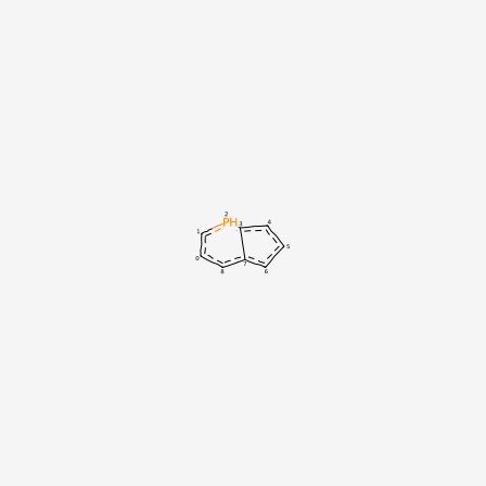 c1c[pH]c2cccc-2c1